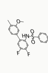 COc1cc(-c2cc(F)c(F)cc2NS(=O)(=O)c2ccccc2)ccc1C